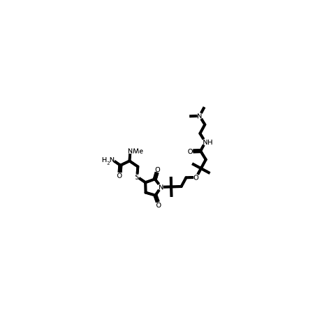 CNC(CSC1CC(=O)N(C(C)(C)CCOC(C)(C)CC(=O)NCCN(C)C)C1=O)C(N)=O